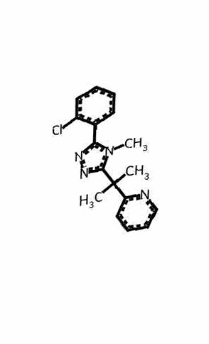 Cn1c(-c2ccccc2Cl)nnc1C(C)(C)c1ccccn1